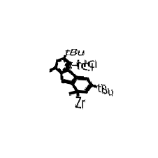 Cc1cc(C(C)(C)C)cc2c1C=C1C2=CC(C(C)(C)C)=C[C]1(C)[Zr].Cl.Cl